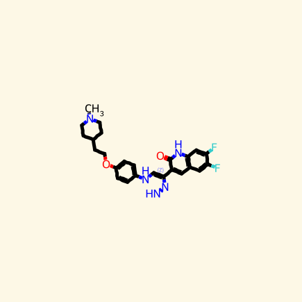 CN1CCC(CCOc2ccc(N/C=C(\N=N)c3cc4cc(F)c(F)cc4[nH]c3=O)cc2)CC1